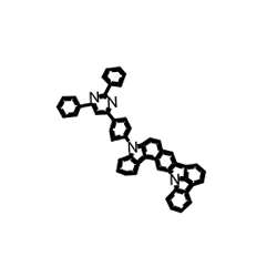 c1ccc(-c2cc(-c3ccc(-n4c5ccccc5c5c6cc7c(cc6ccc54)c4cccc5c6ccccc6n7c54)cc3)nc(-c3ccccc3)n2)cc1